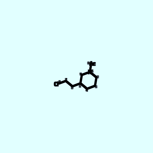 CC(=O)N1CCCC(CCCl)C1